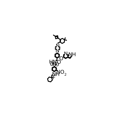 CC1(C)CCC(CN2CCN(c3ccc(C(=O)NS(=O)(=O)c4ccc(NCC5(F)CCCCC5)c([N+](=O)[O-])c4)c(Oc4cnc5[nH]ccc5c4)c3)CC2)=C(C23CC(C)(C2)C3)C1